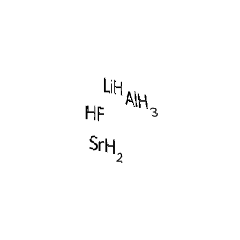 F.[AlH3].[LiH].[SrH2]